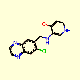 OC1=CCNC=C1NCc1cc2nccnc2cc1Cl